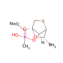 B[C@@H]1O[C@@]2(COC)CSC1[C@H]2OP(C)(=O)O